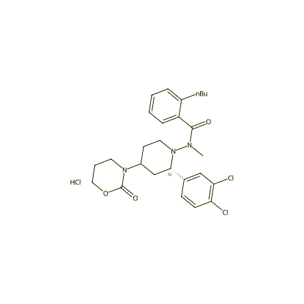 CCCCc1ccccc1C(=O)N(C)N1CCC(N2CCCOC2=O)C[C@H]1c1ccc(Cl)c(Cl)c1.Cl